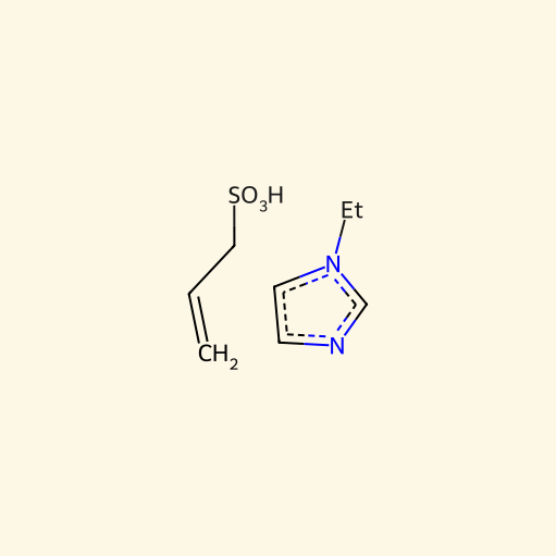 C=CCS(=O)(=O)O.CCn1ccnc1